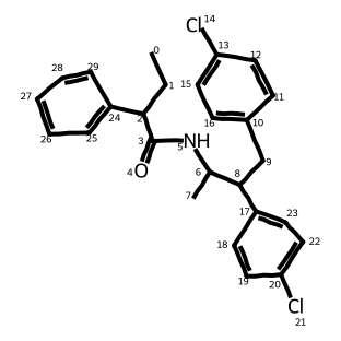 CCC(C(=O)NC(C)C(Cc1ccc(Cl)cc1)c1ccc(Cl)cc1)c1ccccc1